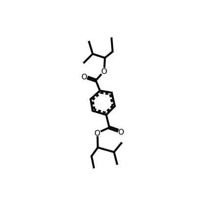 CCC(OC(=O)c1ccc(C(=O)OC(CC)C(C)C)cc1)C(C)C